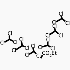 CCOC(C)=O.ClC(Cl)Cl.ClC(Cl)Cl.ClC(Cl)Cl.ClC(Cl)Cl.ClC(Cl)Cl.ClC(Cl)Cl